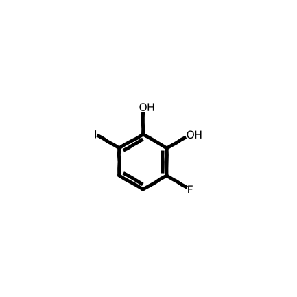 Oc1c(F)ccc(I)c1O